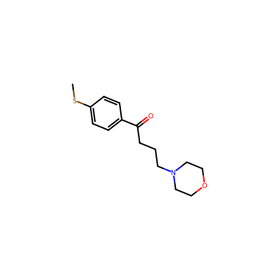 CSc1ccc(C(=O)CCCN2CCOCC2)cc1